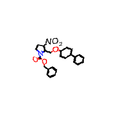 O=C(OCc1ccccc1)N1CCC([N+](=O)[O-])C1COC1CCC(c2ccccc2)CC1